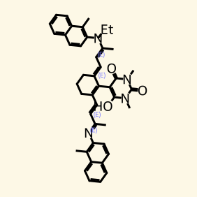 CCN(/C(C)=C/C=C1\CCCC(/C=C/C(C)=N/c2ccc3ccccc3c2C)=C1c1c(O)n(C)c(=O)n(C)c1=O)c1ccc2ccccc2c1C